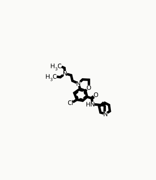 CCN(CC)CCN1CCOc2c(C(=O)NC3CN4CCC3CC4)cc(Cl)cc21